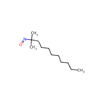 CCCCCCCCCC(C)(C)N=O